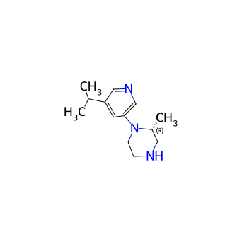 CC(C)c1cncc(N2CCNC[C@H]2C)c1